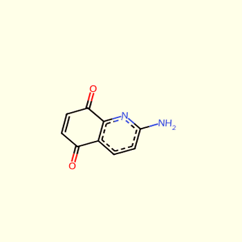 Nc1ccc2c(n1)C(=O)C=CC2=O